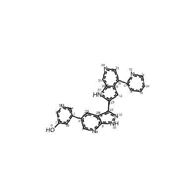 Oc1cncc(-c2cnc3[nH]nc(-c4cc5c(-c6ccccn6)cncc5[nH]4)c3c2)c1